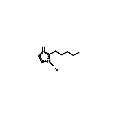 CCCCCc1[nH]cc[n+]1C.[Br-]